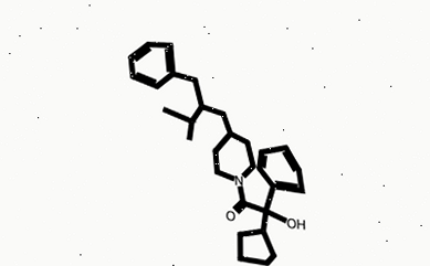 C[C](C)C(Cc1ccccc1)CC1CCN(C(=O)C(O)(c2ccccc2)C2CCCC2)CC1